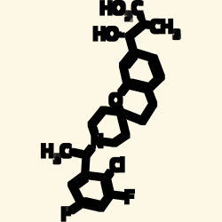 CC(c1cc(F)cc(F)c1Cl)N1CCC2(CCc3ccc([C@H](O)[C@H](C)C(=O)O)cc3O2)CC1